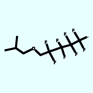 [CH2]C(F)(F)C(F)(F)C(F)(F)C(F)(F)COCC(C)C